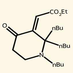 CCCCN1CCC(=O)C(=CC(=O)OCC)C1(CCCC)CCCC